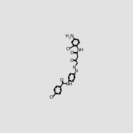 Nc1ccc(NC(=O)CC(=O)CN=Nc2ccc(NC(=O)c3ccc(Cl)cc3)cc2)c(Cl)c1